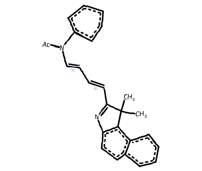 CC(=O)N(/C=C/C=C/C1=Nc2ccc3ccccc3c2C1(C)C)c1ccccc1